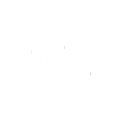 CCOCO[C@H](CC)c1cc(F)ccc1CCC(=O)OCC